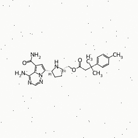 Cc1ccc(C(C)(C)CC(=O)OC[C@@H]2CC[C@H](c3cc(C(N)=O)c4c(N)ncnn34)N2)cc1